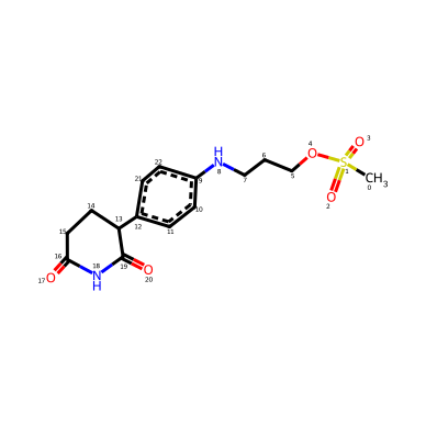 CS(=O)(=O)OCCCNc1ccc(C2CCC(=O)NC2=O)cc1